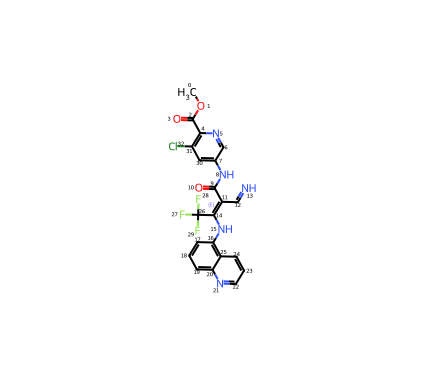 COC(=O)c1ncc(NC(=O)/C(C=N)=C(/Nc2cccc3ncccc23)C(F)(F)F)cc1Cl